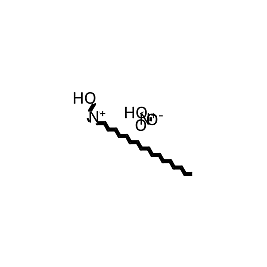 CCCCCCCCCCCCCCCCCC[N+](C)(C)CCO.O=[N+]([O-])O